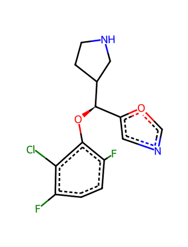 Fc1ccc(F)c(O[C@H](c2cnco2)C2CCNC2)c1Cl